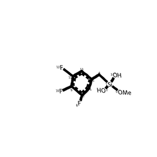 CO[Si](O)(O)Cc1cc(F)c(F)c(F)c1